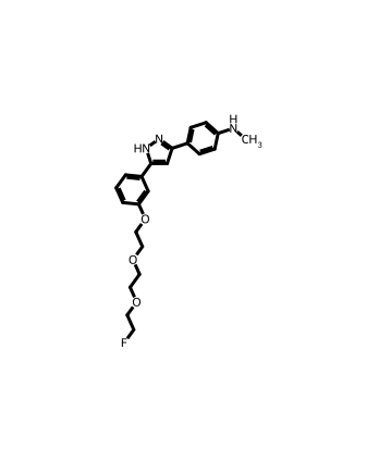 CNc1ccc(-c2cc(-c3cccc(OCCOCCOCCF)c3)[nH]n2)cc1